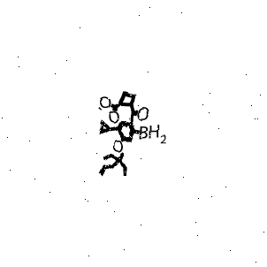 Bc1cc(OCC(CC)(CC)CC=C)c(C2CC2)cc1C(=O)C1CCC1C(=O)OC